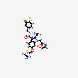 CC(C)c1c(C(=O)NCc2ccc(F)c(F)c2)c2ccc(Oc3nccs3)cc2n1Cc1ncco1